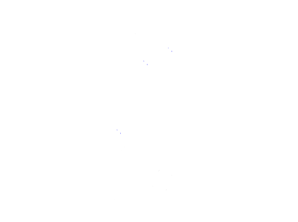 CC1(C)c2ccccc2-c2c1c1sc3ccccc3c1c1c3ccccc3n(-c3ccc(-c4cc(-c5ccccc5)nc(-c5ccccc5)n4)cc3)c21